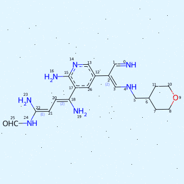 N=C/C(=C\NCC1CCOCC1)c1cnc(N)c(/C(N)=C/C=C(\N)NC=O)c1